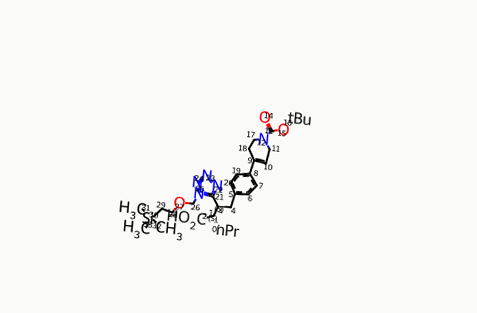 CCC[C@H](C(=O)O)[C@H](Cc1ccc(C2=CCN(C(=O)OC(C)(C)C)CC2)cc1)c1nnnn1COCC[Si](C)(C)C